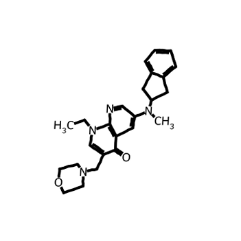 CCn1cc(CN2CCOCC2)c(=O)c2cc(N(C)C3Cc4ccccc4C3)cnc21